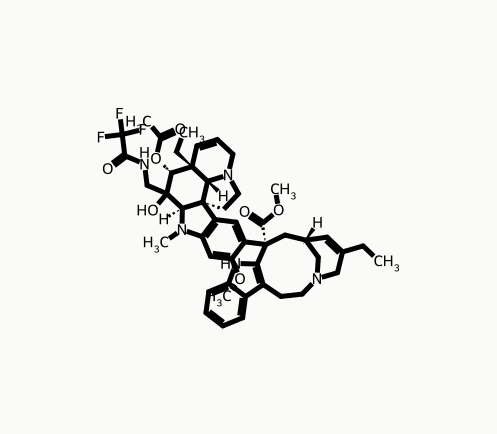 CCC1=C[C@@H]2CN(CCc3c([nH]c4ccccc34)[C@@](C(=O)OC)(c3cc4c(cc3OC)N(C)[C@H]3C(O)(CNC(=O)C(F)(F)F)[C@H](OC(C)=O)[C@]5(CC)C=CCN6CC[C@]43[C@@H]65)C2)C1